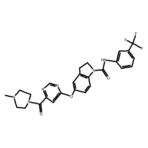 CN1CCN(C(=O)c2cc(Oc3ccc4c(c3)CCN4C(=O)Nc3cccc(C(F)(F)F)c3)ncn2)CC1